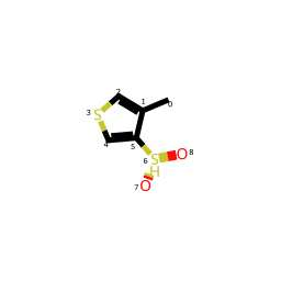 Cc1cscc1[SH](=O)=O